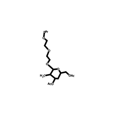 CCCOCCOCCOC1OC(COC(C)=O)CC(OC(C)=O)C1C